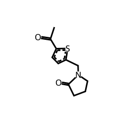 CC(=O)c1ccc(CN2CCCC2=O)s1